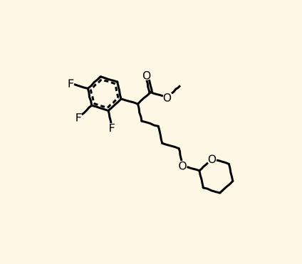 COC(=O)C(CCCCOC1CCCCO1)c1ccc(F)c(F)c1F